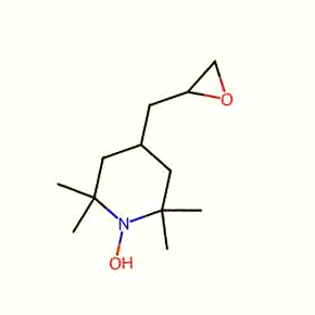 CC1(C)CC(CC2CO2)CC(C)(C)N1O